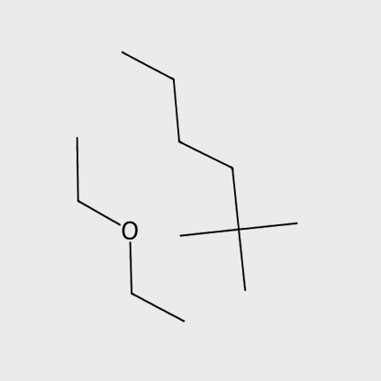 CCCCC(C)(C)C.CCOCC